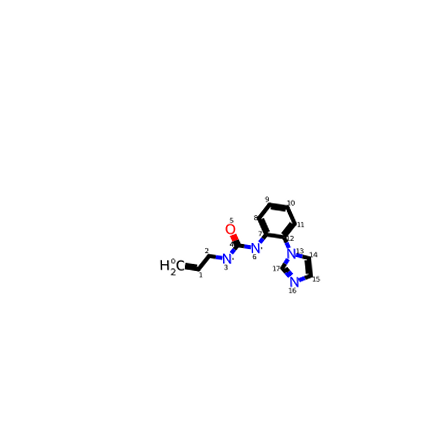 C=CC[N]C(=O)[N]c1ccccc1-n1ccnc1